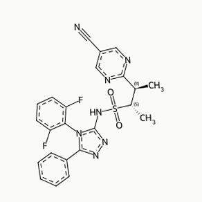 C[C@H](c1ncc(C#N)cn1)[C@H](C)S(=O)(=O)Nc1nnc(-c2ccccc2)n1-c1c(F)cccc1F